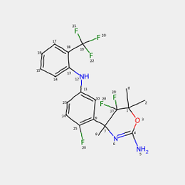 CC1(C)OC(N)=NC(C)(c2cc(Nc3ccccc3C(F)(F)F)ccc2F)C1(F)F